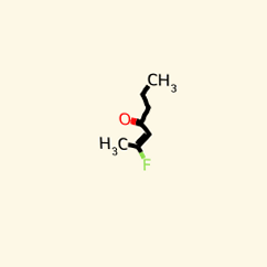 CCCC(=O)/C=C(\C)F